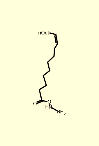 CCCCCCCC/C=C\CCCCCCCC(=O)ONN